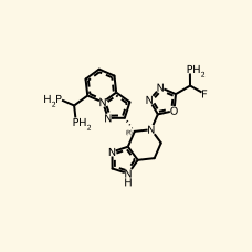 FC(P)c1nnc(N2CCc3[nH]cnc3[C@@H]2c2cc3cccc(C(P)P)n3n2)o1